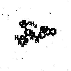 CO[C@H](C)c1cc(-c2conc2C)cn2cc(C(=O)N3CC[C@]4(Cc5ccccc5CN4)[C@H](O)C3)nc12